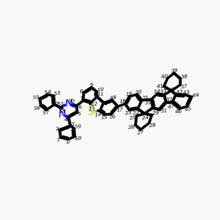 c1ccc(-c2cc(-c3cccc4c3sc3ccc(-c5ccc6c(c5)C5(CCCCC5)c5cc7c(cc5-6)C5(CCCCC5)c5ccccc5-7)cc34)nc(-c3ccccc3)n2)cc1